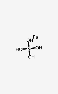 O[Si](O)(O)O.[Pa]